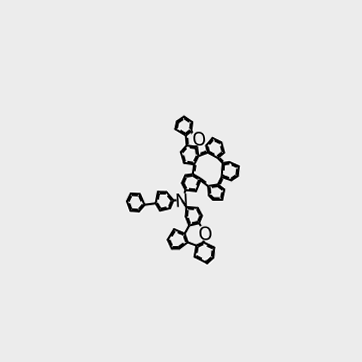 c1ccc(-c2ccc(N(c3ccc4c(c3)-c3ccccc3-c3ccccc3O4)c3ccc4c(c3)c3ccccc3c3ccccc3c3ccccc3c3c4ccc4c5ccccc5oc43)cc2)cc1